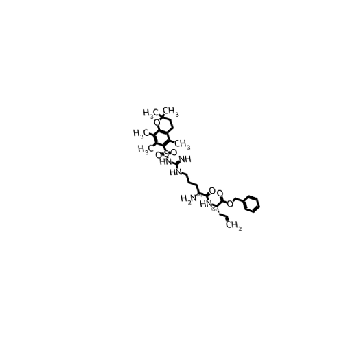 C=CC[C@H](NC(=O)[C@H](N)CCCNC(=N)NS(=O)(=O)c1c(C)c(C)c2c(c1C)CCC(C)(C)O2)C(=O)OCc1ccccc1